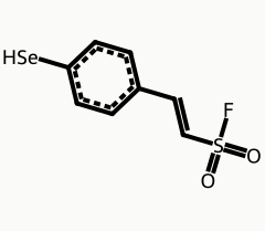 O=S(=O)(F)/C=C/c1ccc([SeH])cc1